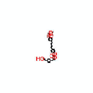 CCOC(C)(OC)Oc1ccc(C=CC=Cc2ccc(OC(=O)OC(C)(C)Cc3ccc(C=CO)cc3)cc2)cc1